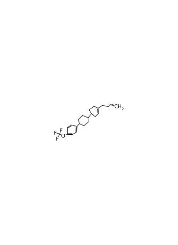 C=CCCC1=CCC(C2CCC(c3ccc(OC(F)(F)F)cc3)CC2)CC1